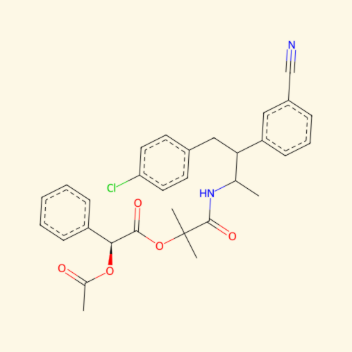 CC(=O)O[C@H](C(=O)OC(C)(C)C(=O)NC(C)C(Cc1ccc(Cl)cc1)c1cccc(C#N)c1)c1ccccc1